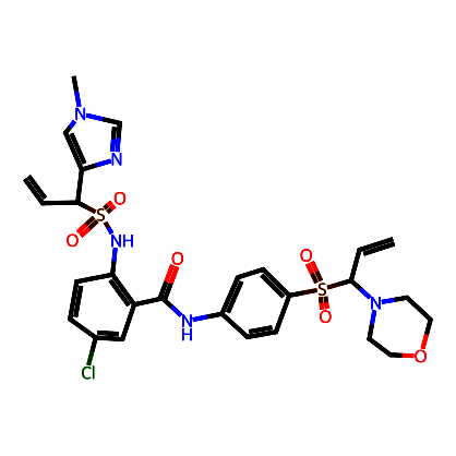 C=CC(c1cn(C)cn1)S(=O)(=O)Nc1ccc(Cl)cc1C(=O)Nc1ccc(S(=O)(=O)C(C=C)N2CCOCC2)cc1